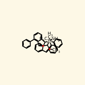 CC1=Cc2ccccc2[CH]1[Zr]([CH3])([CH3])(=[SiH2])([c]1ccccc1)([c]1ccccc1)[CH]1C=Cc2c(-c3ccccc3)cccc21